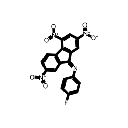 O=[N+]([O-])c1ccc2c(c1)C(=Nc1ccc(F)cc1)c1cc([N+](=O)[O-])cc([N+](=O)[O-])c1-2